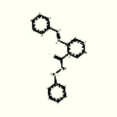 O=C(NNc1ccccc1)c1ccccc1N=Nc1ccccc1